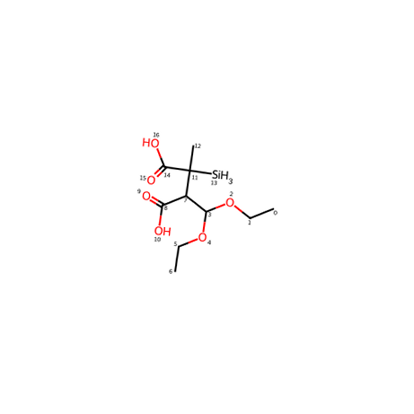 CCOC(OCC)C(C(=O)O)C(C)([SiH3])C(=O)O